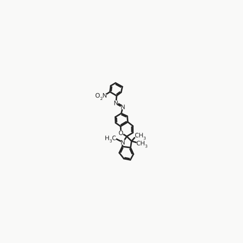 CN1c2ccccc2C(C)(C)C12C=Cc1cc(/N=N/c3ccccc3[N+](=O)[O-])ccc1O2